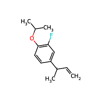 C=C[C](C)c1ccc(OC(C)C)c(F)c1